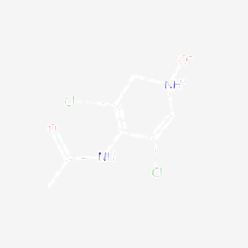 CC(=O)NC1=C(Cl)C[NH+]([O-])C=C1Cl